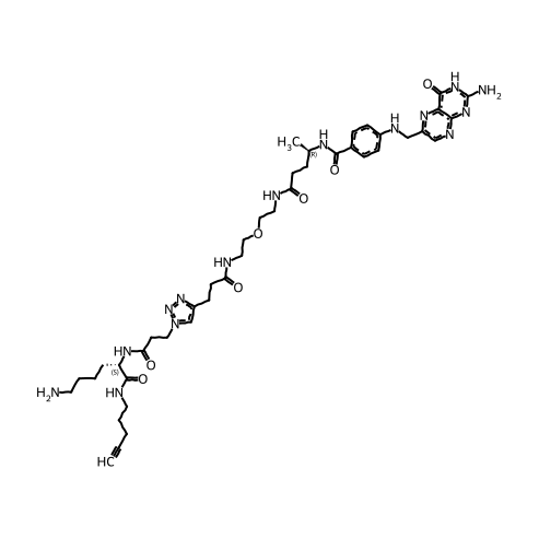 C#CCCCNC(=O)[C@H](CCCCN)NC(=O)CCn1cc(CCC(=O)NCCOCCNC(=O)CC[C@@H](C)NC(=O)c2ccc(NCc3cnc4nc(N)[nH]c(=O)c4n3)cc2)nn1